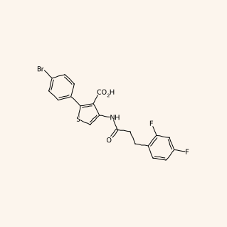 O=C(CCc1ccc(F)cc1F)Nc1csc(-c2ccc(Br)cc2)c1C(=O)O